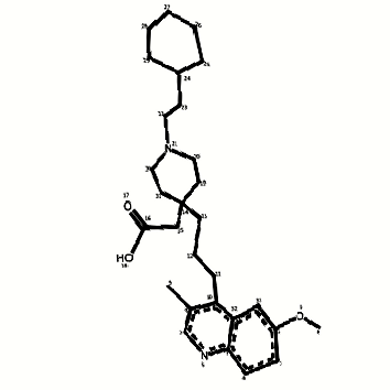 COc1ccc2ncc(C)c(CCCC3(CC(=O)O)CCN(CCC4CCCCC4)CC3)c2c1